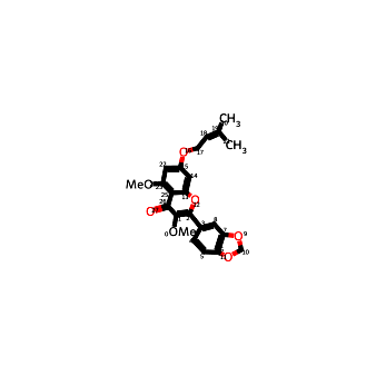 COc1c(-c2ccc3c(c2)OCO3)oc2cc(OCC=C(C)C)cc(OC)c2c1=O